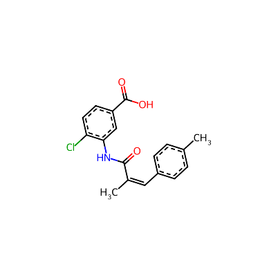 CC(=Cc1ccc(C)cc1)C(=O)Nc1cc(C(=O)O)ccc1Cl